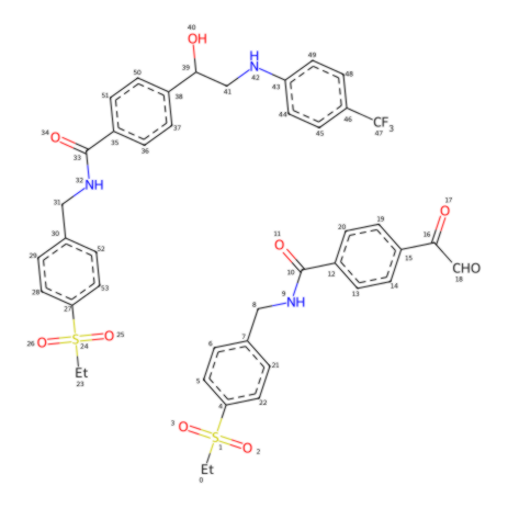 CCS(=O)(=O)c1ccc(CNC(=O)c2ccc(C(=O)C=O)cc2)cc1.CCS(=O)(=O)c1ccc(CNC(=O)c2ccc(C(O)CNc3ccc(C(F)(F)F)cc3)cc2)cc1